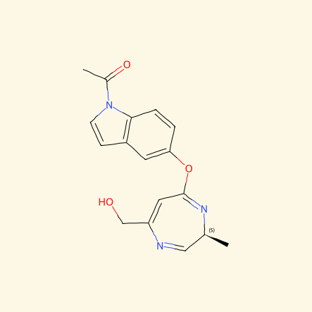 CC(=O)n1ccc2cc(OC3=N[C@@H](C)C=NC(CO)=C3)ccc21